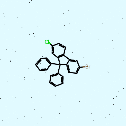 Clc1ccc2c(c1)C(c1ccccc1)(c1ccccc1)c1ccc(Br)cc1-2